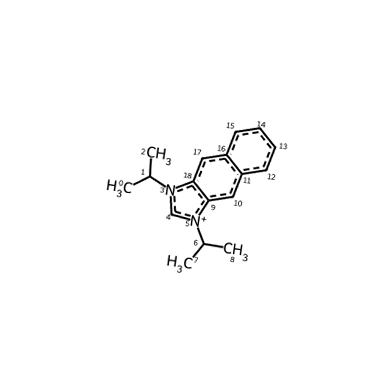 CC(C)n1c[n+](C(C)C)c2cc3ccccc3cc21